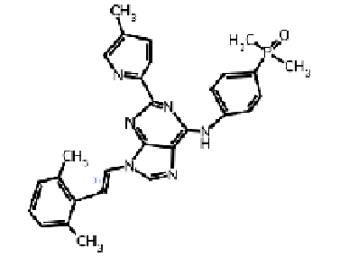 Cc1ccc(-c2nc(Nc3ccc(P(C)(C)=O)cc3)c3ncn(/C=C/c4c(C)cccc4C)c3n2)nc1